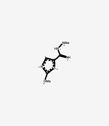 CNNC(=N)c1cnc(OC)s1